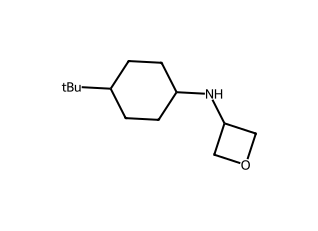 CC(C)(C)C1CCC(NC2COC2)CC1